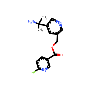 CC(C)(N)c1cncc(COC(=O)c2ccc(F)nc2)c1